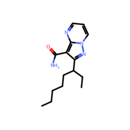 CCCCCC(CC)c1nn2cccnc2c1C(N)=O